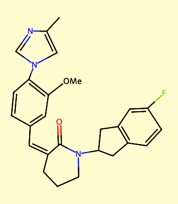 COc1cc(C=C2CCCN(C3Cc4ccc(F)cc4C3)C2=O)ccc1-n1cnc(C)c1